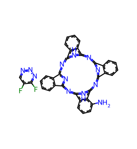 Fc1cnnnc1F.Nc1cccc2c3nc4nc(nc5[nH]c(nc6nc(nc([nH]3)c12)-c1ccccc1-6)c1ccccc51)-c1ccccc1-4